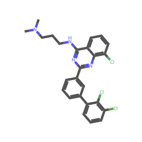 CN(C)CCCNc1nc(-c2cccc(-c3cccc(Cl)c3Cl)c2)nc2c(Cl)cccc12